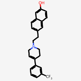 Oc1ccc2cc(CCN3CC=C(c4cccc(C(F)(F)F)c4)CC3)ccc2c1